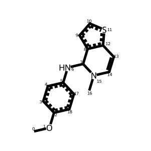 COc1ccc(NC2c3ccsc3C=CN2C)cc1